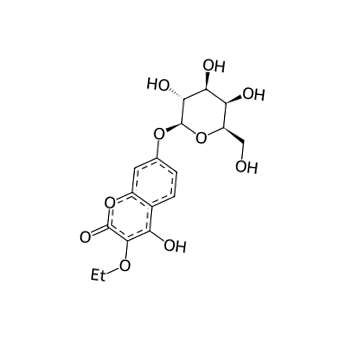 CCOc1c(O)c2ccc(O[C@@H]3O[C@H](CO)[C@H](O)[C@H](O)[C@H]3O)cc2oc1=O